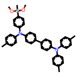 CO[Si](C)(OC)c1ccc(N(c2ccc(C)cc2)c2ccc(-c3ccc(N(c4ccc(C)cc4)c4ccc(C)cc4)cc3)cc2)cc1